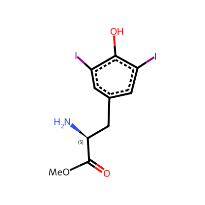 COC(=O)[C@@H](N)Cc1cc(I)c(O)c(I)c1